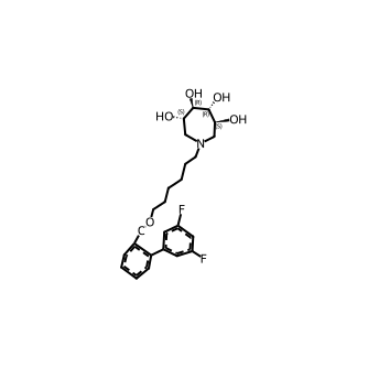 O[C@H]1[C@H](O)[C@@H](O)CN(CCCCCCOCc2ccccc2-c2cc(F)cc(F)c2)C[C@@H]1O